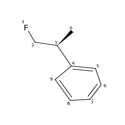 C[C@H](CF)c1cc[c]cc1